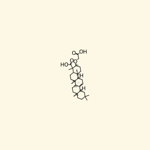 CC1(C)CC[C@]2(C)CC[C@]3(C)C(=CC[C@@H]4[C@@]5(C)CC[C@H](OCC(=O)O)C(C)(C(=O)O)C5CC[C@]43C)[C@@H]2C1